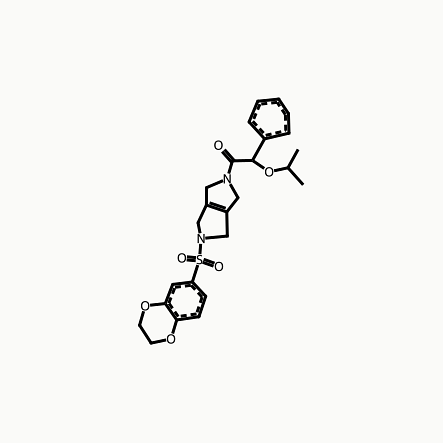 CC(C)OC(C(=O)N1CC2=C(C1)CN(S(=O)(=O)c1ccc3c(c1)OCCO3)C2)c1ccccc1